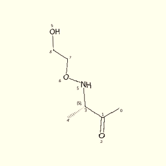 CC(=O)[C@H](C)NOCCO